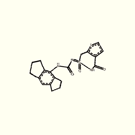 O=C(N=S1(=O)Cc2sccc2C(=O)N1)Nc1c2c(cc3c1CCC3)CCC2